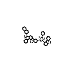 c1ccc(-c2nc(-c3ccc4oc5c(ccc6c(-c7ccc8ccccc8c7)nc7ccccc7c65)c4c3)cc(-c3cccc4oc5ccccc5c34)n2)cc1